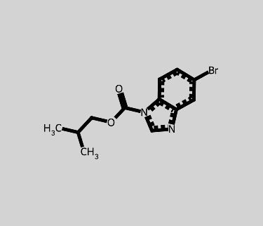 CC(C)COC(=O)n1cnc2cc(Br)ccc21